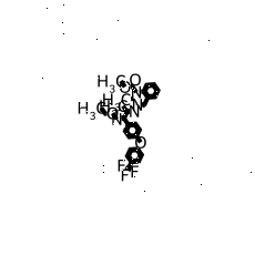 CCO\N=C(/C(C)=N/N=C/c1ccccc1N(CC)C(=O)OC)c1ccc(Oc2ccc(C(F)(F)F)cc2)cc1